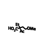 CCC(CCOC)(C(C)=O)C(=O)O